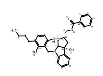 CCCCc1ccc(O)c(CN2c3ccccc3[C@]3(O)C[C@@H](COC(=O)c4ccccc4)OC23)c1O